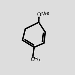 CO[C]1C=CC(C)=CC1